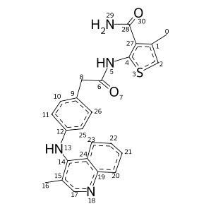 Cc1csc(NC(=O)Cc2ccc(Nc3c(C)cnc4ccccc34)cc2)c1C(N)=O